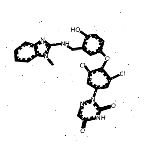 Cn1c(NCc2cc(Oc3c(Cl)cc(-n4ncc(=O)[nH]c4=O)cc3Cl)ccc2O)nc2ccccc21